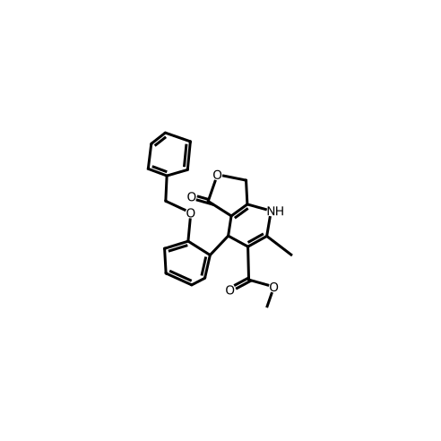 COC(=O)C1=C(C)NC2=C(C(=O)OC2)C1c1ccccc1OCc1ccccc1